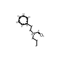 CCCN(C=O)CCc1ccccc1